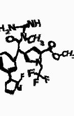 COC(=O)c1cc(C(C(=O)N(C)C(=N)N)c2cccc(-c3cccnc3F)c2)cn1CC(F)(F)F